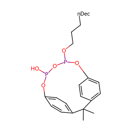 CCCCCCCCCCCCCOP1Oc2ccc(cc2)C(C)(C)c2ccc(cc2)OP(O)O1